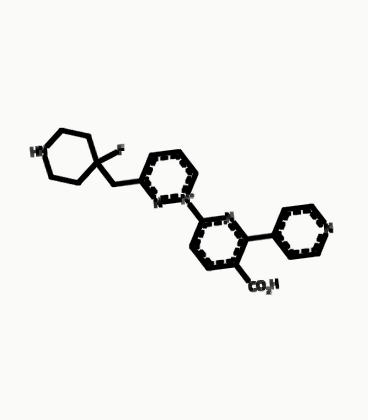 O=C(O)c1ccc(-[n+]2cccc(CC3(F)CCNCC3)n2)nc1-c1ccncc1